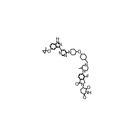 C[C@H]1CN(CC2CCC(OC3CCN(c4cc(-c5n[nH]c6ccc(OC7(C)CC7)cc56)ncn4)CC3)CC2)CCN1c1ccc2c(c1F)CN(C1CCC(=O)NC1=O)C2=O